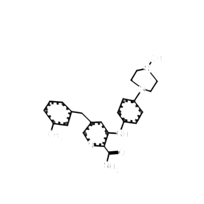 Cc1cccc(Cc2cnc(C(N)=O)c(Nc3ccc(N4CCN(C)CC4)cc3)c2)c1